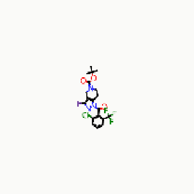 CC(C)(C)OC(=O)N1CCc2c(c(I)nn2C(=O)c2c(Cl)cccc2C(F)(F)F)C1